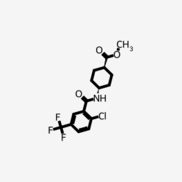 COC(=O)[C@H]1CC[C@H](NC(=O)c2cc(C(F)(F)F)ccc2Cl)CC1